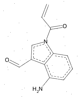 C=CC(=O)n1cc(C=O)c2c(N)cccc21